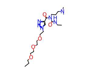 CCCOCCOCCOCCn1cc(C(=O)N(CCCN(C)C)C(=O)NCC)nn1